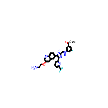 COC(=O)c1cc(F)cc(NCc2nc(-c3cccc(C(F)F)n3)c(-c3ccc4ncc(OCCN)cc4c3)[nH]2)c1